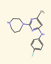 Cc1cc(Nc2ccc(F)cc2)nc(N2CCCNCC2)n1